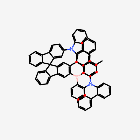 Cc1ccc2c(c1)N(c1ccccc1-c1ccccc1)c1cc(C)cc(C)c1B2c1cc2c(cc1C(C)c1ccccc1-c1ccccc1)C1(c3ccccc3-c3ccc(-n4c5c(c6ccccc64)C=CCC5)cc31)c1ccccc1-2